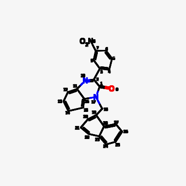 O=c1c(-c2cccc([N+](=O)[O-])c2)nc2ccccc2n1Cc1cccc2ccccc12